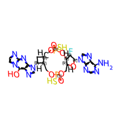 Nc1ncnc2c1ncn2[C@@H]1O[C@@H]2CO[P@@](=O)(S)OC[C@@H]3[C@@H](CO[P@@](=O)(S)O[C@H]2[C@H]1F)C[C@H]3n1cnc2c(O)n3ccnc3nc21